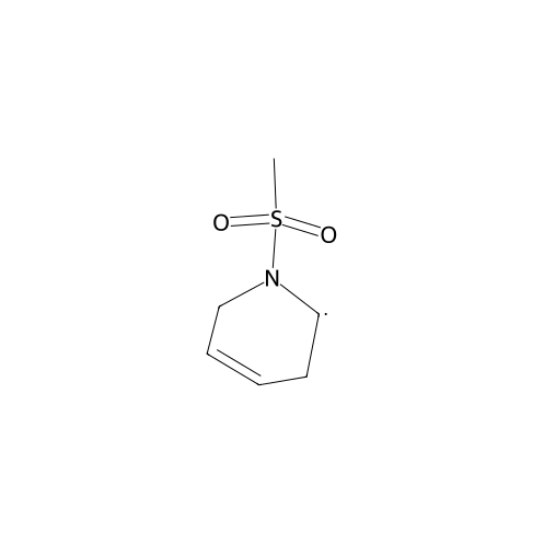 CS(=O)(=O)N1[CH]CC=CC1